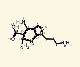 CCCCn1ncc2c(N)c(C(=O)O)c(C)nc21